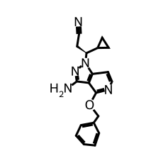 N#CC[C@@H](C1CC1)n1nc(N)c2c(OCc3ccccc3)nccc21